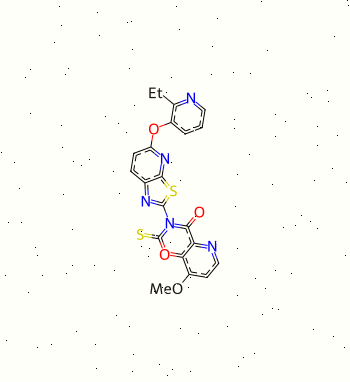 CCc1ncccc1Oc1ccc2nc(-n3c(=S)oc4c(OC)ccnc4c3=O)sc2n1